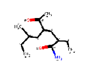 CCC(C)CC(CC(CC)C(N)=O)C(C)=O